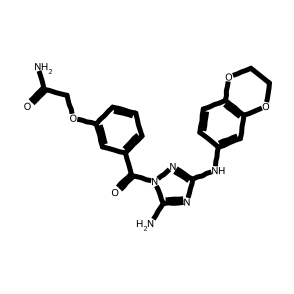 NC(=O)COc1cccc(C(=O)n2nc(Nc3ccc4c(c3)OCCO4)nc2N)c1